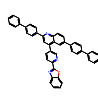 c1ccc(-c2ccc(-c3ccc4nc(-c5ccc(-c6ccccc6)cc5)cc(-c5ccc(-c6nc7ccccc7o6)nc5)c4c3)cc2)cc1